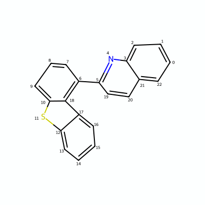 c1ccc2nc(-c3cccc4sc5ccccc5c34)ccc2c1